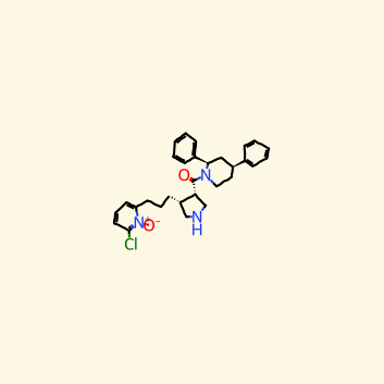 O=C([C@@H]1CNC[C@@H]1CCCc1cccc(Cl)[n+]1[O-])N1CC[C@H](c2ccccc2)C[C@@H]1c1ccccc1